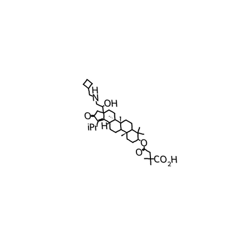 CC(C)C1=C2[C@H]3CCC4[C@@]5(C)CC[C@H](OC(=O)CC(C)(C)C(=O)O)C(C)(C)C5CC[C@@]4(C)[C@]3(C)CCC2([C@H](O)CNCC2CCC2)CC1=O